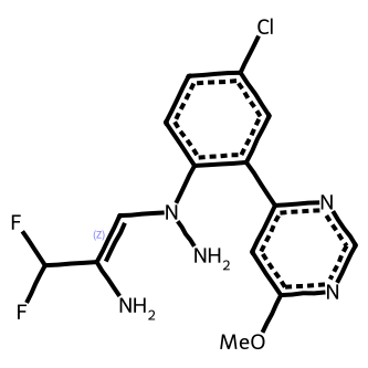 COc1cc(-c2cc(Cl)ccc2N(N)/C=C(\N)C(F)F)ncn1